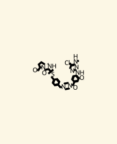 CNc1nc(Nc2ccc(C(=O)N3CCN(Cc4ccc(CSC(C)(C)C(NC)C(=O)N5CCCC5C=O)cc4)CC3)cc2OC)ncc1Cl